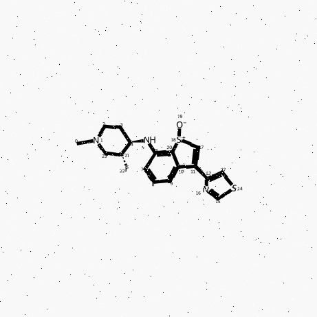 CN1CC[C@@H](Nc2cccc3c(-c4cscn4)c[s+]([O-])c23)[C@H](F)C1